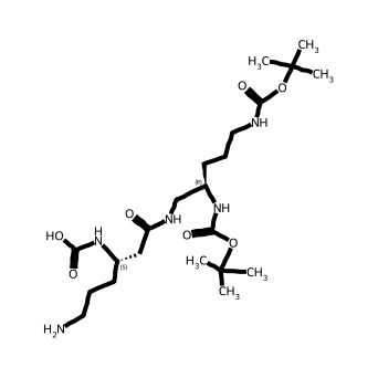 CC(C)(C)OC(=O)NCCC[C@H](CNC(=O)C[C@H](CCCN)NC(=O)O)NC(=O)OC(C)(C)C